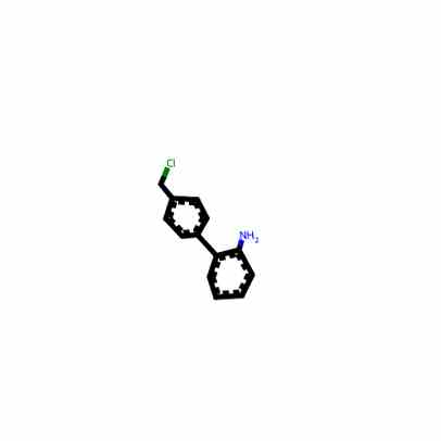 Nc1ccccc1-c1ccc(CCl)cc1